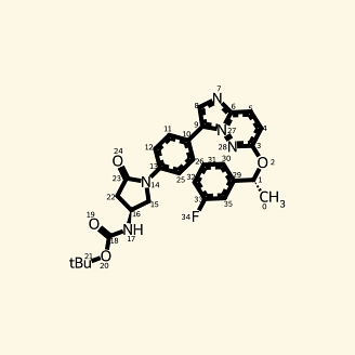 C[C@@H](Oc1ccc2ncc(-c3ccc(N4C[C@@H](NC(=O)OC(C)(C)C)CC4=O)cc3)n2n1)c1cccc(F)c1